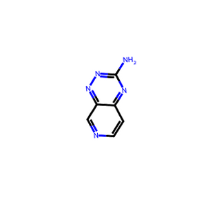 Nc1nnc2cnccc2n1